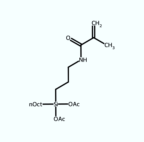 C=C(C)C(=O)NCCC[Si](CCCCCCCC)(OC(C)=O)OC(C)=O